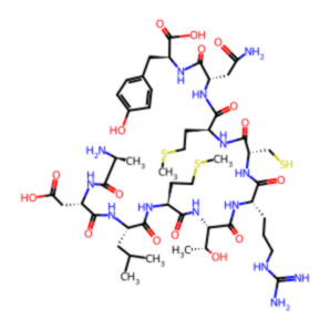 CSCC[C@H](NC(=O)[C@H](CS)NC(=O)[C@H](CCCNC(=N)N)NC(=O)[C@@H](NC(=O)[C@H](CCSC)NC(=O)[C@H](CC(C)C)NC(=O)[C@H](CC(=O)O)NC(=O)[C@H](C)N)[C@@H](C)O)C(=O)N[C@@H](CC(N)=O)C(=O)N[C@@H](Cc1ccc(O)cc1)C(=O)O